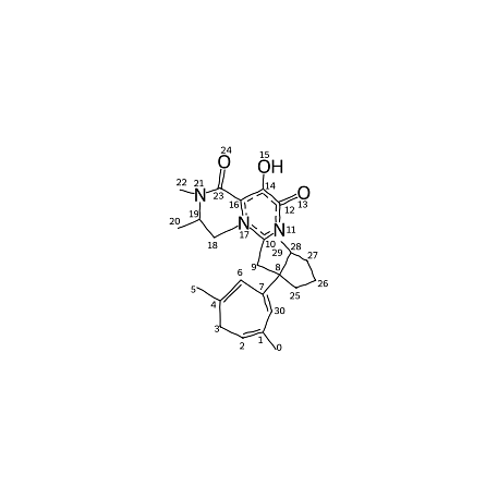 CC1=CCC(C)=CC(C2(Cc3nc(=O)c(O)c4n3CC(C)N(C)C4=O)CCCC2C)=C1